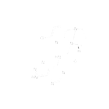 O=C(Nc1ncnc2[nH]nnc12)N1c2nc(Cl)ccc2N2CC[C@H]1C2